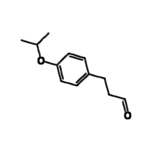 CC(C)Oc1ccc(CCC=O)cc1